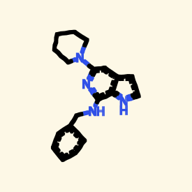 c1ccc(CNc2nc(N3CCCCC3)cc3cc[nH]c23)cc1